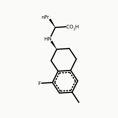 CCC[C@H](N[C@H]1CCc2cc(C)cc(F)c2C1)C(=O)O